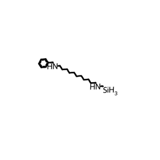 [SiH3]CNCCCCCCCCCCCNCc1ccccc1